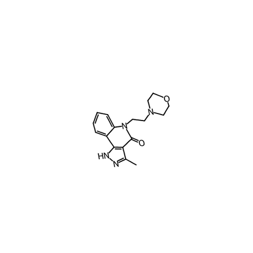 Cc1n[nH]c2c1c(=O)n(CCN1CCOCC1)c1ccccc21